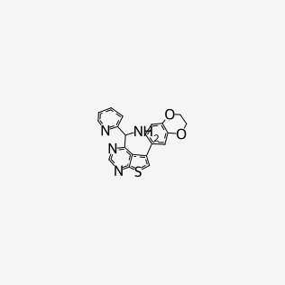 NC(c1ccccn1)c1ncnc2scc(-c3ccc4c(c3)OCCO4)c12